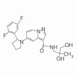 CC(O)(CO)CNC(=O)c1cnn2ccc(N3CCCC3c3cc(F)ccc3F)cc12